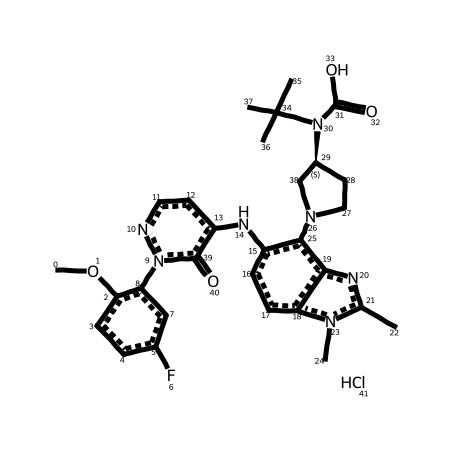 COc1ccc(F)cc1-n1nccc(Nc2ccc3c(nc(C)n3C)c2N2CC[C@H](N(C(=O)O)C(C)(C)C)C2)c1=O.Cl